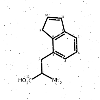 NC(Cc1cccc2c1CC=C2)C(=O)O